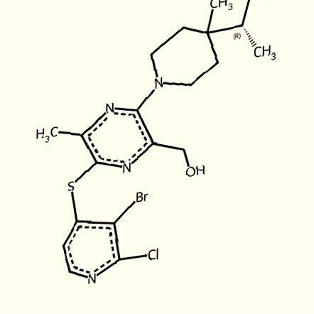 Cc1nc(N2CCC(C)([C@@H](C)N)CC2)c(CO)nc1Sc1ccnc(Cl)c1Br